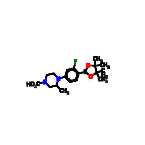 CC1CN(C(=O)O)CCN1c1ccc(B2OC(C)(C)C(C)(C)O2)c(F)c1